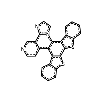 c1ccc2c(c1)sc1c3sc4ccccc4c3c3c(c4ccncc4c4nccn43)c21